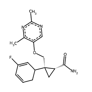 Cc1ncc(OC[C@@]2(C3C=C(F)C=CC3)C[C@H]2C(N)=O)c(C)n1